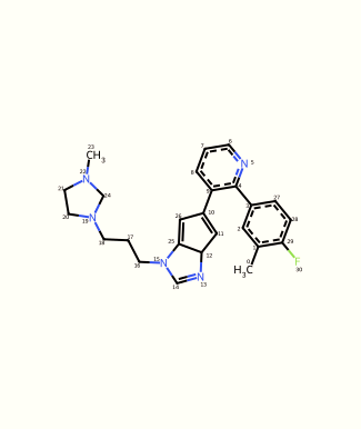 Cc1cc(-c2ncccc2C2=CC3N=CN(CCCN4CCN(C)C4)C3=C2)ccc1F